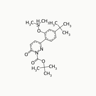 C[SiH](C)Oc1cc(C(C)(C)C)ccc1-c1ccc(=O)n(C(=O)OC(C)(C)C)n1